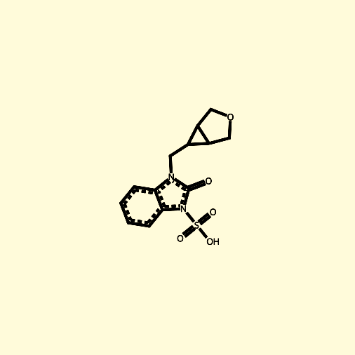 O=c1n(CC2C3COCC32)c2ccccc2n1S(=O)(=O)O